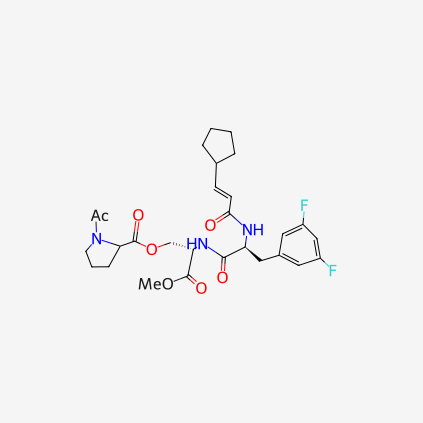 COC(=O)[C@H](COC(=O)C1CCCN1C(C)=O)NC(=O)[C@H](Cc1cc(F)cc(F)c1)NC(=O)/C=C/C1CCCC1